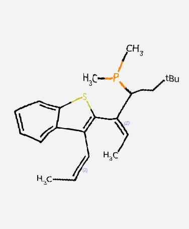 C/C=C\c1c(/C(=C\C)C(CC(C)(C)C)P(C)C)sc2ccccc12